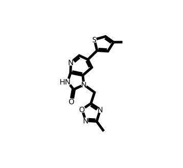 Cc1csc(-c2cnc3[nH]c(=O)n(Cc4nc(C)no4)c3c2)c1